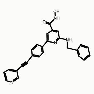 O=C(NO)c1cc(NCc2ccccc2)nc(-c2ccc(C#Cc3cccnc3)cc2)c1